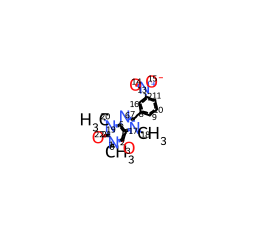 Cn1c(=O)c2c(nc(-c3cccc([N+](=O)[O-])c3)n2C)n(C)c1=O